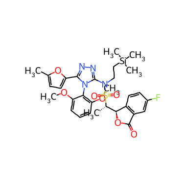 COc1cccc(OC)c1-n1c(-c2ccc(C)o2)nnc1N(CC[Si](C)(C)C)S(=O)(=O)[C@@H](C)[C@@H]1OC(=O)c2cc(F)ccc21